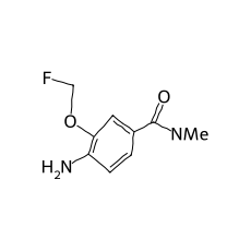 CNC(=O)c1ccc(N)c(OCF)c1